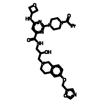 CC(C)C(=O)N1CCN(c2nc(NC3COC3)cc(C(=O)NCC(O)CN3CCc4cc(OCc5cnco5)ccc4C3)n2)CC1